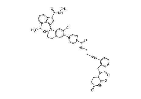 CNC(=O)c1cn(N2CCCc3cc(-c4ccc(C(=O)NCCC#Cc5cccc6c5CN(C5CCC(=O)NC5=O)C6=O)nc4)c(Cl)cc32)c2c(C(C)C)cccc12